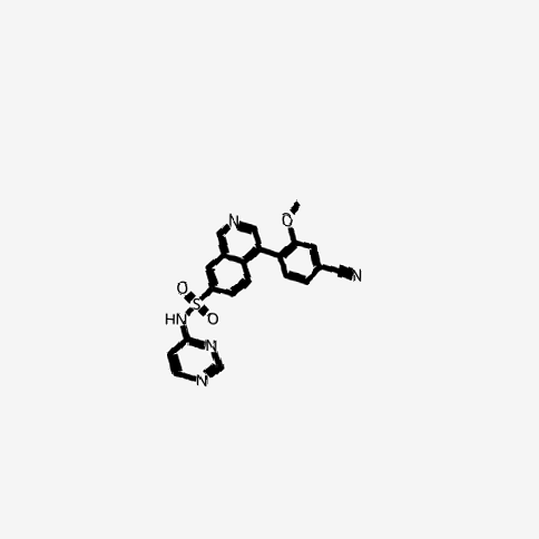 COc1cc(C#N)ccc1-c1cncc2cc(S(=O)(=O)Nc3ccncn3)ccc12